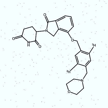 [2H]c1cc(CN2CCOCC2)c([2H])cc1COc1cccc2c1CN(C1CCC(=O)NC1=O)C2=O